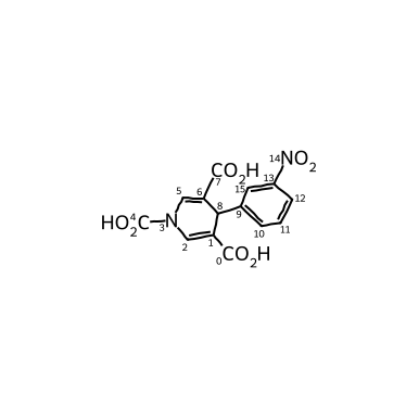 O=C(O)C1=CN(C(=O)O)C=C(C(=O)O)C1c1cccc([N+](=O)[O-])c1